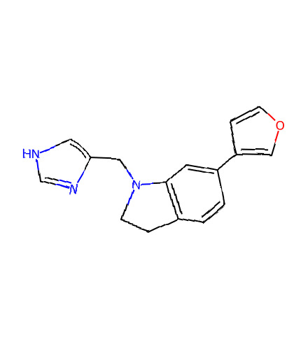 c1nc(CN2CCc3ccc(-c4ccoc4)cc32)c[nH]1